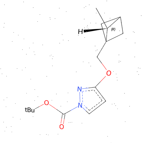 C[C@@H]1C2CC1(COc1ccn(C(=O)OC(C)(C)C)n1)C2